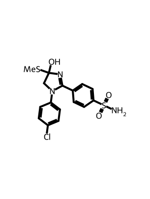 CSC1(O)CN(c2ccc(Cl)cc2)C(c2ccc(S(N)(=O)=O)cc2)=N1